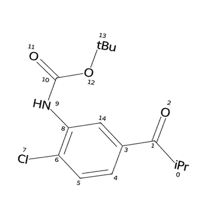 CC(C)C(=O)c1ccc(Cl)c(NC(=O)OC(C)(C)C)c1